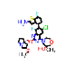 CO[C@H]1CN2CCC[C@@]2(COc2nc(N3CCOCC(C)(O)C3)c3cc(Cl)c(-c4ccc(F)c5sc(N)cc45)c(F)c3n2)C1